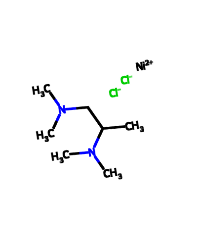 CC(CN(C)C)N(C)C.[Cl-].[Cl-].[Ni+2]